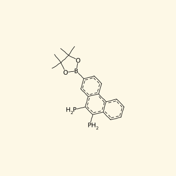 CC1(C)OB(c2ccc3c(c2)c(P)c(P)c2ccccc23)OC1(C)C